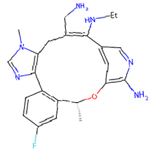 CCN/C1=C(\CN)Cc2c(ncn2C)-c2ccc(F)cc2[C@@H](C)Oc2cc1cnc2N